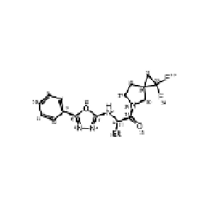 CC[C@@H](Nc1nnc(-c2ccccc2)o1)C(=O)N1CCC2(C1)CC2(F)F